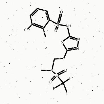 Cc1c(Cl)cccc1S(=O)(=O)Nc1nnc(CCN(C)S(=O)(=O)C(F)(F)F)s1